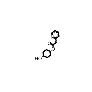 O=C(Cc1ccccn1)O[C@H]1CC[C@H](O)CC1